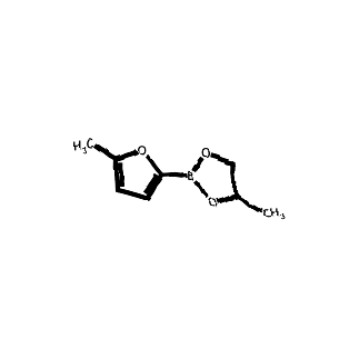 Cc1ccc(B2OCC(C)O2)o1